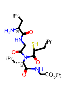 CCOC(=O)CNC(=O)[C@H](CC(C)C)N(C(=O)CNC(=O)[C@@H](N)CC(C)C)C(=O)C(S)CC(C)C